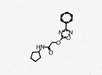 O=C(COc1nc(-c2ccccc2)no1)NC1CCCC1